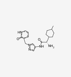 CC1CCC([C@H](N)C(=O)Nc2cnn(Cc3ccc[nH]c3=O)c2)CC1